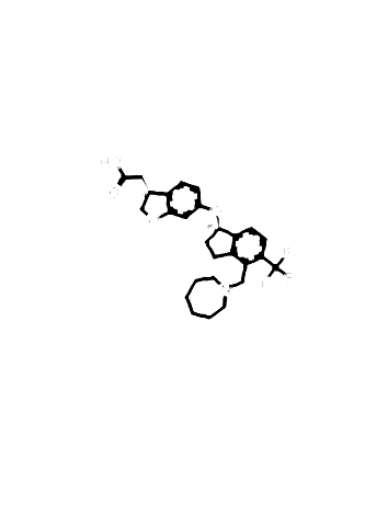 O=C(O)C[C@@H]1COc2cc(O[C@@H]3CCc4c3ccc(C(F)(F)F)c4CN3CCCCCC3)ccc21